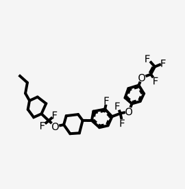 CCCC1CCC(C(F)(F)OC2CCC(c3ccc(C(F)(F)Oc4ccc(OC(F)=C(F)F)cc4)c(F)c3)CC2)CC1